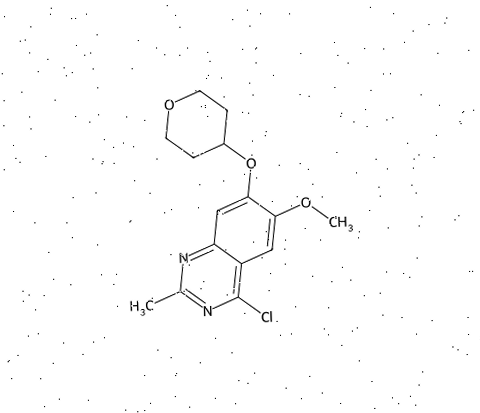 COc1cc2c(Cl)nc(C)nc2cc1OC1CCOCC1